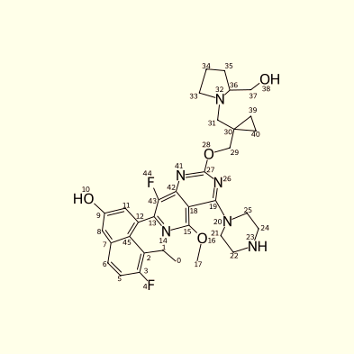 CCc1c(F)ccc2cc(O)cc(-c3nc(OC)c4c(N5CCNCC5)nc(OCC5(CN6CCCC6CO)CC5)nc4c3F)c12